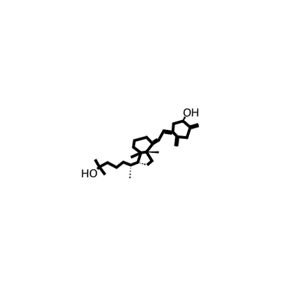 C=C1CC(=C)[C@H](O)C/C1=C/C=C1\CCCC2(C)[C@@H]([C@H](C)CCCC(C)(C)O)CC[C@@]12C